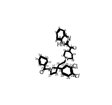 O=C(c1nc2ccccc2[nH]1)C1CCN(CCC2(c3ccc(Cl)c(Cl)c3)CCN(C(=O)c3ccccc3)C2)CC1